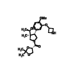 COc1ccc([C@@H]2CN(C(=O)[C@@H]3COC(C)(C)O3)C[C@@]2(C)[C@@H](C)O)cc1OC1CNC1